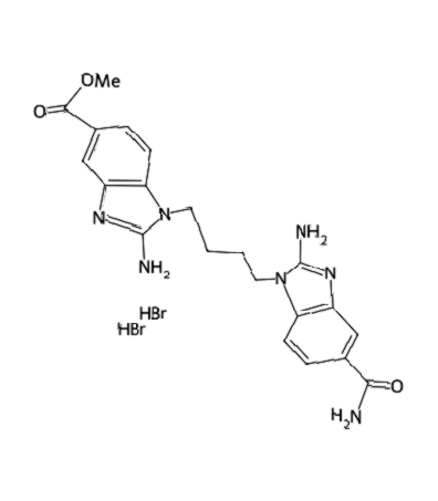 Br.Br.COC(=O)c1ccc2c(c1)nc(N)n2CCCCn1c(N)nc2cc(C(N)=O)ccc21